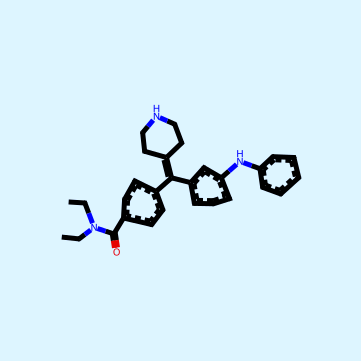 CCN(CC)C(=O)c1ccc(C(=C2CCNCC2)c2cccc(Nc3ccccc3)c2)cc1